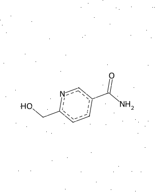 NC(=O)c1ccc(CO)nc1